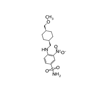 COC[C@H]1CC[C@@H](CNc2ccc(S(N)(=O)=O)cc2[N+](=O)[O-])CC1